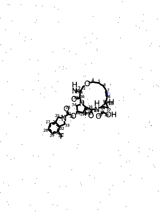 N[C@H]1COCCC/C=C\[C@@H]2C[C@@]2(C(=O)O)NC(=O)[C@@H]2C[C@@H](OC(=O)N3Cc4cccc(F)c4C3)CN2C1=O